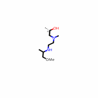 COCC(C)NCCN(C)C[C@H](C)O